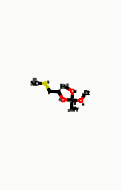 CCC[Si](OCC)(OCC)OCCSC#N